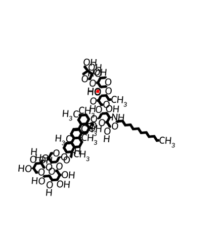 CCCCCCCCCCCC(=O)N[C@H]1C(CO)O[C@@H](OC(=O)[C@]23CCC(C)(C)CC2C2=CCC4C5(C)CC[C@H](O[C@@H]6OC[C@@H](O)[C@H](O[C@@H]7OC[C@@H](O)[C@H](O)C7O)C6O[C@@H]6OC(CO)[C@H](O)[C@H](O)C6O)[C@](C)(C=O)[C@@H]5CC[C@]4(C)[C@]2(C)CC3O)C(O[C@@H]2OC(C)[C@H](O[C@@H]3OC[C@@H](O)C(O[C@@H]4OCC(O)(CO)[C@@H]4O)C3O)C(O)C2O)C1O